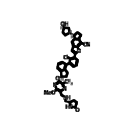 COc1nc(O[C@H]2CCc3c(-c4cccc(-c5cc6cc7c(c(C#N)c6o5)CC[C@H]7N5CC[C@@H](O)C5)c4Cl)cccc32)c(C(F)(F)F)nc1CNC[C@H]1CCC(=O)N1